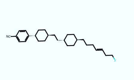 N#Cc1ccc([C@H]2CC[C@H](CC[C@H]3CC[C@H](CCC/C=C/CCF)CC3)CC2)cc1